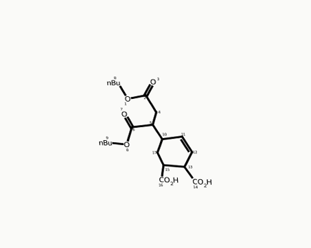 CCCCOC(=O)CC(C(=O)OCCCC)C1C=CC(C(=O)O)C(C(=O)O)C1